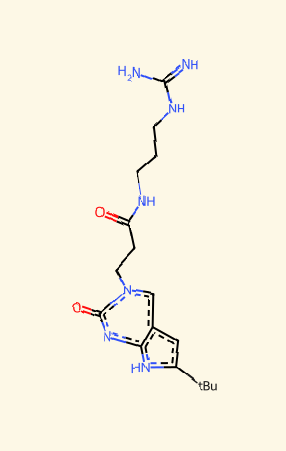 CC(C)(C)c1cc2cn(CCC(=O)NCCCNC(=N)N)c(=O)nc2[nH]1